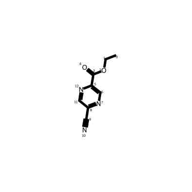 CCOC(=O)c1cnc(C#N)cn1